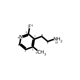 Cc1ccnc(F)c1CCN